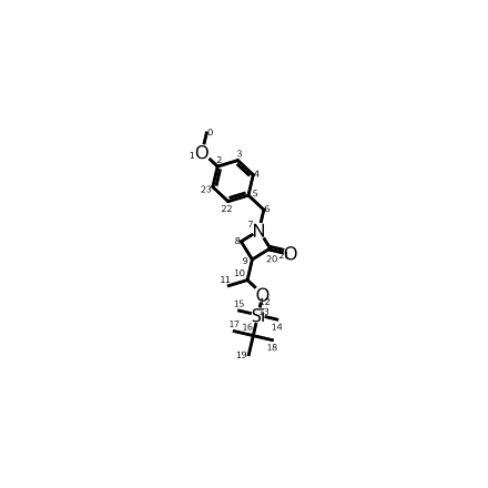 COc1ccc(CN2CC(C(C)O[Si](C)(C)C(C)(C)C)C2=O)cc1